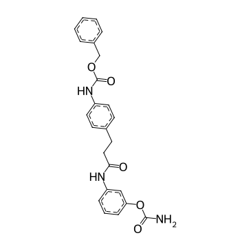 NC(=O)Oc1cccc(NC(=O)CCc2ccc(NC(=O)OCc3ccccc3)cc2)c1